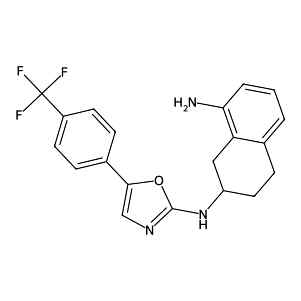 Nc1cccc2c1CC(Nc1ncc(-c3ccc(C(F)(F)F)cc3)o1)CC2